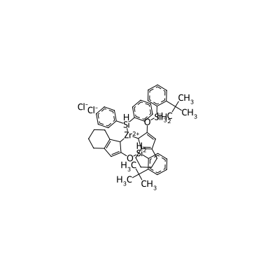 CC(C)(C)c1ccccc1[SiH2]OC1=CC2=C(CCCC2)[CH]1[Zr+2]([CH]1C(O[SiH2]c2ccccc2C(C)(C)C)=CC2=C1CCCC2)[SiH](c1ccccc1)c1ccccc1.[Cl-].[Cl-]